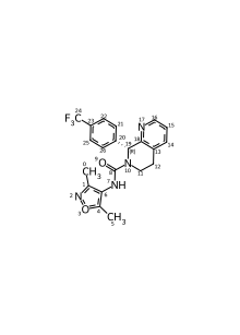 Cc1noc(C)c1NC(=O)N1CCc2cccnc2[C@H]1c1ccc(C(F)(F)F)cc1